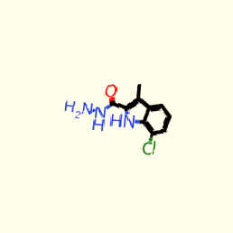 Cc1c(C(=O)NN)[nH]c2c(Cl)cccc12